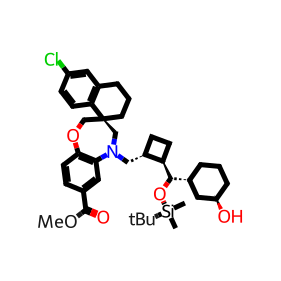 COC(=O)c1ccc2c(c1)N(C[C@@H]1CC[C@H]1C(O[Si](C)(C)C(C)(C)C)[C@@H]1CCC[C@@H](O)C1)C[C@@]1(CCCc3cc(Cl)ccc31)CO2